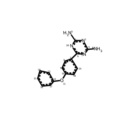 Nc1nc(N)nc(-c2ccc(Oc3ccccc3)cc2)n1